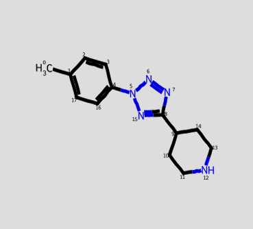 Cc1ccc(-n2nnc(C3CCNCC3)n2)cc1